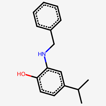 CC(C)c1ccc(O)c(NCc2ccccc2)c1